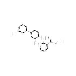 COC(=O)c1cccnc1Nc1ccc(-c2cccc(O)c2)cc1F